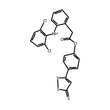 O=C(Cc1ccccc1Nc1c(Cl)cccc1Cl)Oc1ccc(-c2cc(=S)ss2)cc1